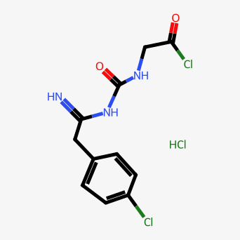 Cl.N=C(Cc1ccc(Cl)cc1)NC(=O)NCC(=O)Cl